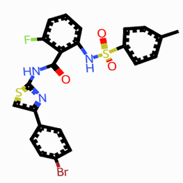 Cc1ccc(S(=O)(=O)Nc2cccc(F)c2C(=O)Nc2nc(-c3ccc(Br)cc3)cs2)cc1